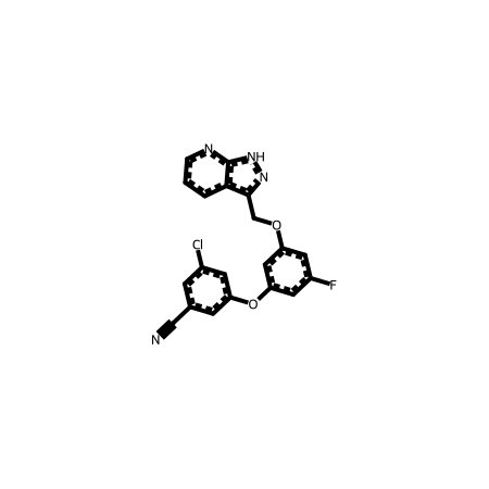 N#Cc1cc(Cl)cc(Oc2cc(F)cc(OCc3n[nH]c4ncccc34)c2)c1